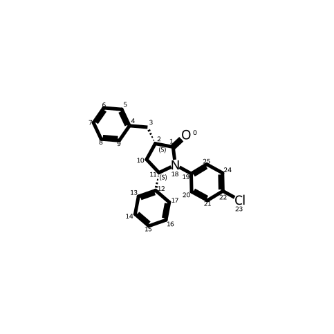 O=C1[C@@H](Cc2ccccc2)C[C@@H](c2ccccc2)N1c1ccc(Cl)cc1